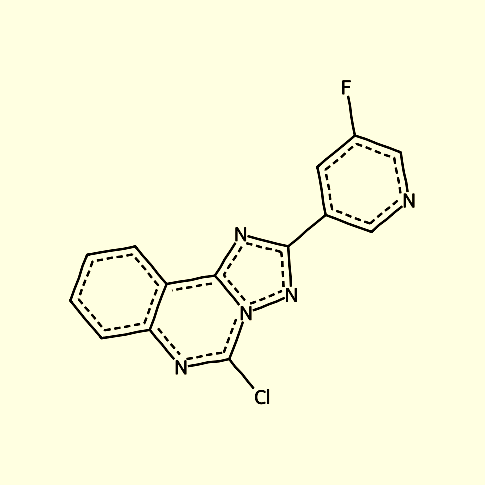 Fc1cncc(-c2nc3c4ccccc4nc(Cl)n3n2)c1